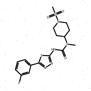 CN(C(=O)Nc1nnc(-c2cccc(F)c2)s1)C1CCN(S(C)(=O)=O)CC1